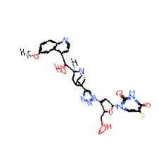 COc1ccc2nccc(C(O)[C@@H]3CC4CC[N@]3CC4c3cn(C4CC(n5cc(F)c(=O)[nH]c5=O)OC4CO)nn3)c2c1